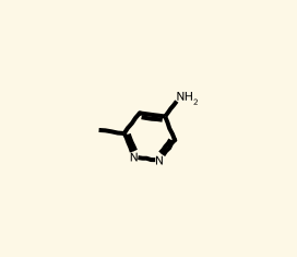 Cc1cc(N)cnn1